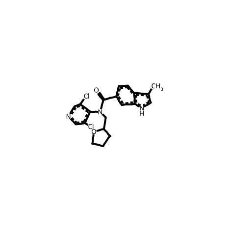 Cc1c[nH]c2cc(C(=O)N(CC3CCCO3)c3c(Cl)cncc3Cl)ccc12